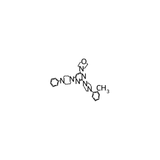 Cc1ccccc1N1CCN(c2nc(N3CCOCC3)cc(N3CCN(c4ccccc4)CC3)n2)CC1